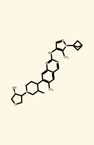 Cc1cc2cnc(Nc3cnn(C45CC(C4)C5)c3C)nc2cc1C1CCN(C2COC[C@H]2O)CC1F